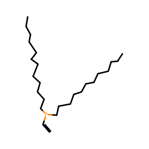 C=CP(CCCCCCCCCCCC)CCCCCCCCCCCC